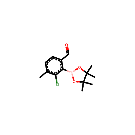 Cc1ccc(C=O)c(B2OC(C)(C)C(C)(C)O2)c1Cl